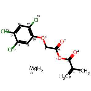 C=C(C)C(=O)OC(=O)COc1cc(Cl)c(Cl)cc1Cl.[MgH2]